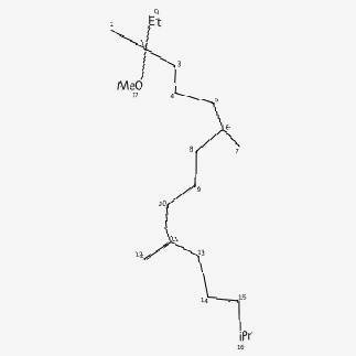 [CH2]CC(C)(CCCC(C)CCCC(C)CCCC(C)C)OC